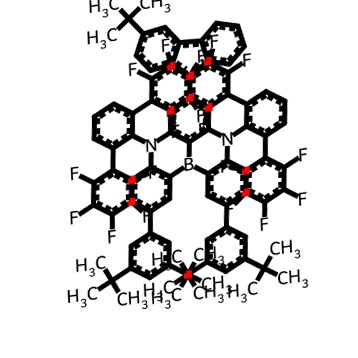 CC(C)(C)c1cc(-c2ccc3c(c2)B2c4cc(-c5cc(C(C)(C)C)cc(C(C)(C)C)c5)ccc4N(c4c(-c5c(F)c(F)c(F)c(F)c5F)cccc4-c4c(F)c(F)c(F)c(F)c4F)c4cc(-n5c6ccccc6c6cc(C(C)(C)C)ccc65)cc(c42)N3c2c(-c3c(F)c(F)c(F)c(F)c3F)cccc2-c2c(F)c(F)c(F)c(F)c2F)cc(C(C)(C)C)c1